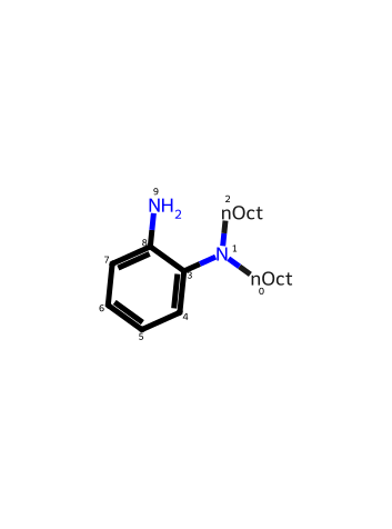 CCCCCCCCN(CCCCCCCC)c1ccccc1N